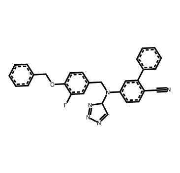 N#Cc1ccc(N(Cc2ccc(OCc3ccccc3)c(F)c2)C2C=NN=N2)cc1-c1ccccc1